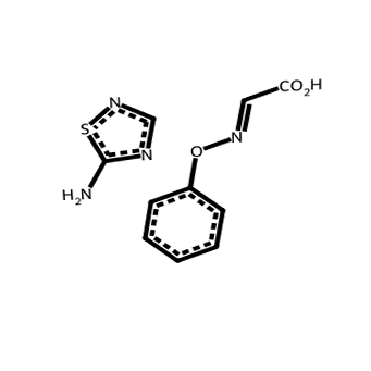 Nc1ncns1.O=C(O)C=NOc1ccccc1